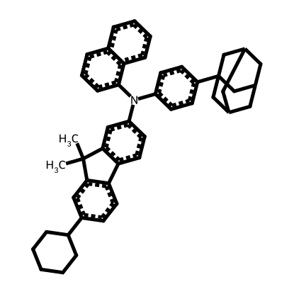 CC1(C)c2cc(C3CCCCC3)ccc2-c2ccc(N(c3ccc(C45CC6CC(CC(C6)C4)C5)cc3)c3cccc4ccccc34)cc21